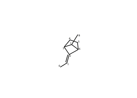 CC=C1C2CCC1C2C